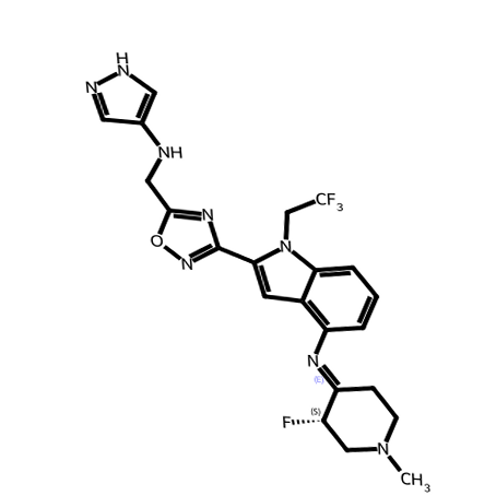 CN1CC/C(=N\c2cccc3c2cc(-c2noc(CNc4cn[nH]c4)n2)n3CC(F)(F)F)[C@@H](F)C1